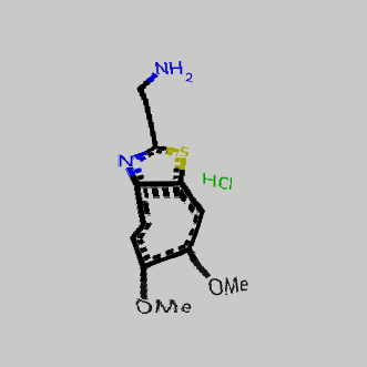 COc1cc2nc(CN)sc2cc1OC.Cl